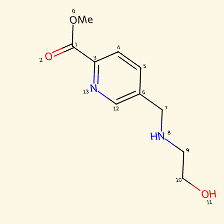 COC(=O)c1ccc(CNCCO)cn1